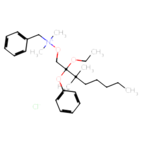 CCCCCC(C)(C)C(CO[N+](C)(C)Cc1ccccc1)(OCC)Oc1ccccc1.[Cl-]